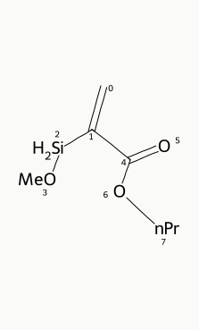 C=C([SiH2]OC)C(=O)OCCC